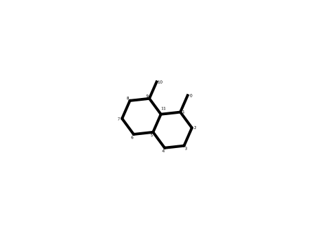 CC1CCCC2CCCC(C)C12